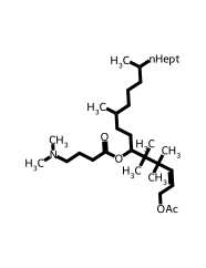 CCCCCCCC(C)CCCC(C)CCC(OC(=O)CCCN(C)C)C(C)(C)C(C)(C)/C=C\COC(C)=O